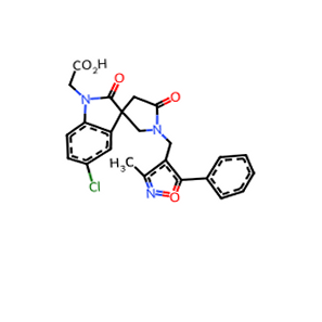 Cc1noc(-c2ccccc2)c1CN1CC2(CC1=O)C(=O)N(CC(=O)O)c1ccc(Cl)cc12